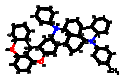 Cc1ccc(N(c2ccccc2)c2ccc3c4c(cccc24)N(c2ccccc2)c2cc4c(cc2-3)Oc2cccc3c2B4c2ccccc2O3)cc1